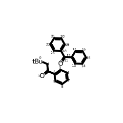 CC(C)(C)CC(=O)c1ccccc1.O=C(c1ccccc1)c1ccccc1